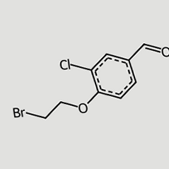 O=Cc1ccc(OCCBr)c(Cl)c1